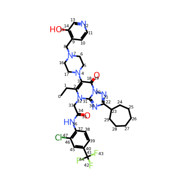 CCc1c(N2CCN(Cc3ccncc3O)CC2)c(=O)n2nc(C3CCCCCC3)nc2n1CC(=O)Nc1ccc(C(F)(F)F)cc1Cl